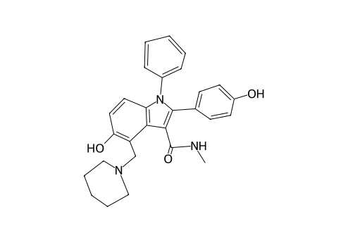 CNC(=O)c1c(-c2ccc(O)cc2)n(-c2ccccc2)c2ccc(O)c(CN3CCCCC3)c12